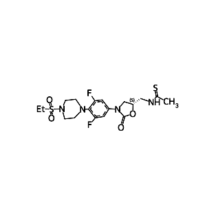 CCS(=O)(=O)N1CCN(c2c(F)cc(N3C[C@H](CNC(C)=S)OC3=O)cc2F)CC1